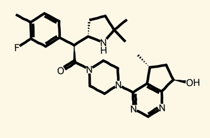 Cc1ccc([C@H](C(=O)N2CCN(c3ncnc4c3[C@H](C)C[C@H]4O)CC2)[C@@H]2CCC(C)(C)N2)cc1F